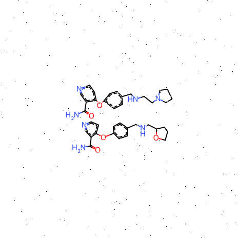 NC(=O)c1cnccc1Oc1ccc(CNCC2CCCO2)cc1.NC(=O)c1cnccc1Oc1ccc(CNCCN2CCCC2)cc1